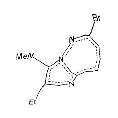 CCc1nc2ccc(Br)nn2c1NC